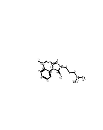 CCN(CC)CCCn1nnn(-c2ccccc2N(C)C)c1=S